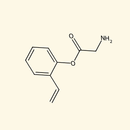 C=Cc1ccccc1OC(=O)CN